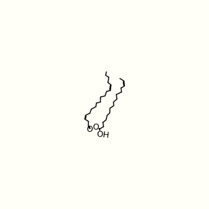 C/C=C\CCCCCCCCCCCCC(=O)O.CCCC/C=C\CCCCCCCC/C=C\CC=O